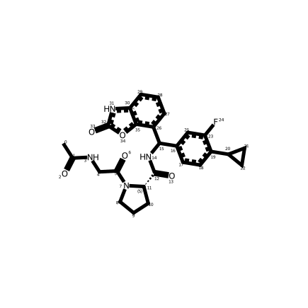 CC(=O)NCC(=O)N1CCC[C@H]1C(=O)NC(c1ccc(C2CC2)c(F)c1)c1cccc2[nH]c(=O)oc12